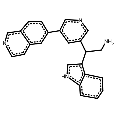 NCC(c1cncc(-c2ccc3cnccc3c2)c1)c1c[nH]c2ccccc12